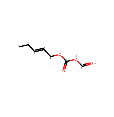 CCC=CCOC(=O)OC=O